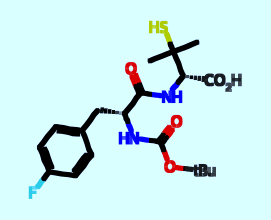 CC(C)(C)OC(=O)N[C@H](Cc1ccc(F)cc1)C(=O)N[C@@H](C(=O)O)C(C)(C)S